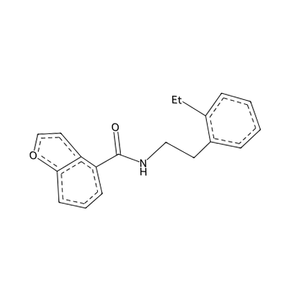 [CH2]Cc1ccccc1CCNC(=O)c1cccc2occc12